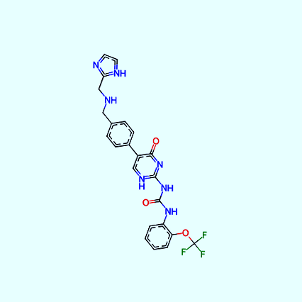 O=C(Nc1nc(=O)c(-c2ccc(CNCc3ncc[nH]3)cc2)c[nH]1)Nc1ccccc1OC(F)(F)F